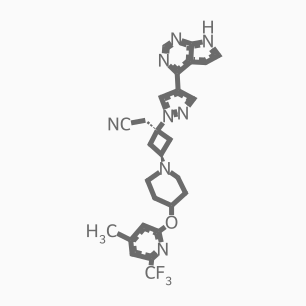 Cc1cc(OC2CCN([C@H]3C[C@@](CC#N)(n4cc(-c5ncnc6[nH]ccc56)cn4)C3)CC2)nc(C(F)(F)F)c1